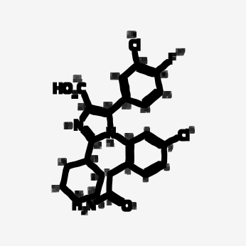 NC(=O)Cc1ccc(Cl)cc1-n1c(C2CCCCC2)nc(C(=O)O)c1-c1ccc(F)c(Cl)c1